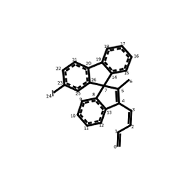 C=C/C=C\C1=C(C)C2(c3ccccc31)c1ccccc1-c1ccc(I)cc12